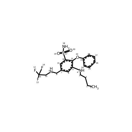 CCCCNc1cc(CNCC(F)(F)F)cc(S(N)(=O)=O)c1Oc1ccccc1